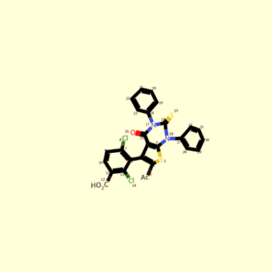 CC(=O)c1sc2c(c1-c1c(Cl)ccc(C(=O)O)c1Cl)c(=O)n(-c1ccccc1)c(=S)n2-c1ccccc1